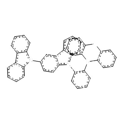 c1ccc2c(c1)Oc1ccccc1B2c1ccccc1-n1c2ccccc2c2cc(-n3c4ccccc4c4ccccc43)ccc21